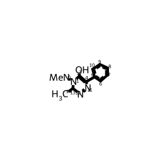 CNN1C(O)=C(c2ccccc2)N=NC1C